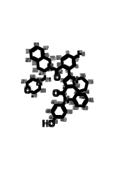 O=C(c1cc(-c2cc(F)ccc2C(=O)N2Cc3ccccc3C[C@H]2CN2CCOCC2)n2c1CCCC2)N(c1ccccc1)c1ccc(O)cc1